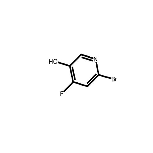 Oc1cnc(Br)cc1F